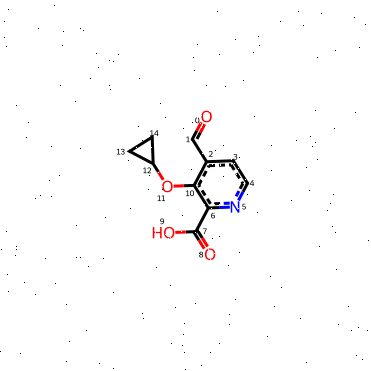 O=Cc1ccnc(C(=O)O)c1OC1CC1